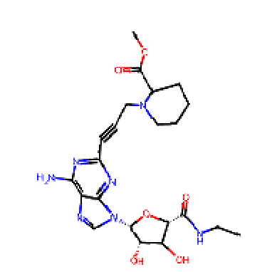 CCNC(=O)[C@H]1O[C@@H](n2cnc3c(N)nc(C#CCN4CCCCC4C(=O)OC)nc32)[C@@H](O)C1O